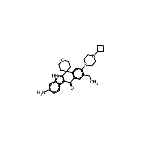 CCc1cc2c(cc1N1CCN(C3CCC3)CC1)C1(CCOCC1)c1[nH]c3cc(N)ccc3c1C2=O